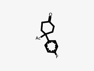 CC(=O)C1(c2ccc(F)cc2)CCC(=O)CC1